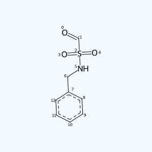 O=[C]S(=O)(=O)NCc1ccccc1